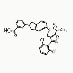 CC(C)c1onc(-c2c(Cl)cccc2Cl)c1COc1ccc2c(c1)CC(c1cccc(C(=O)O)c1)C2